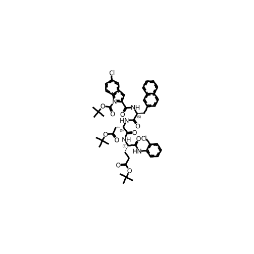 CC(C)(C)OC(=O)CC[C@H](NC(=O)[C@H](CC(=O)OC(C)(C)C)NC(=O)[C@H](Cc1ccc2ccccc2c1)NC(=O)c1cc2cc(Cl)ccc2n1C(=O)OC(C)(C)C)C(=O)Nc1ccccc1Cl